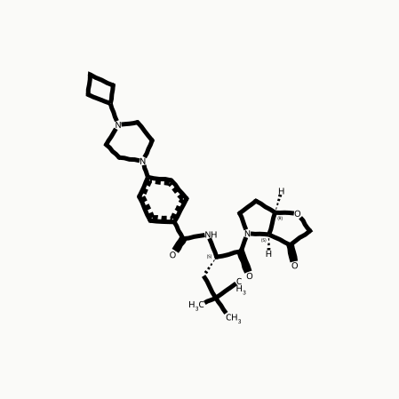 CC(C)(C)C[C@H](NC(=O)c1ccc(N2CCN(C3CCC3)CC2)cc1)C(=O)N1CC[C@H]2OCC(=O)[C@H]21